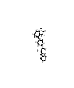 O=C(NC1CC2CCC(C1)C2O)c1ccc(-c2nccc3occc23)cc1